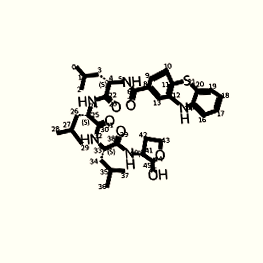 CC(C)C[C@H](NC(=O)c1ccc2c(c1)Nc1ccccc1S2)C(=O)N[C@@H](CC(C)C)C(=O)N[C@@H](CC(C)C)C(=O)N[C@H]1CCOC1O